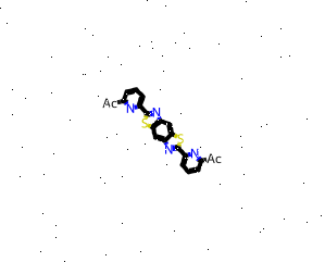 CC(=O)c1cccc(-c2nc3cc4sc(-c5cccc(C(C)=O)n5)nc4cc3s2)n1